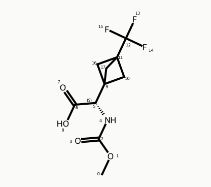 COC(=O)N[C@H](C(=O)O)C12CC(C(F)(F)F)(C1)C2